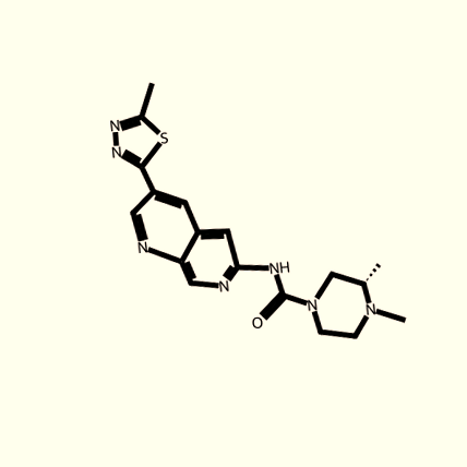 Cc1nnc(-c2cnc3cnc(NC(=O)N4CCN(C)[C@@H](C)C4)cc3c2)s1